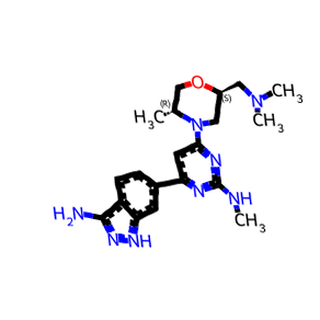 CNc1nc(-c2ccc3c(N)n[nH]c3c2)cc(N2C[C@H](CN(C)C)OC[C@H]2C)n1